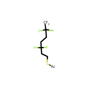 CC(=O)SCCC(F)(F)CCC(F)(F)C(F)(F)F